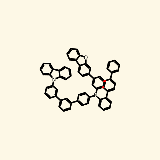 c1ccc(-c2ccc(-c3ccccc3N(c3ccc(-c4cccc(-c5cccc(-n6c7ccccc7c7ccccc76)c5)c4)cc3)c3cccc(-c4ccc5c(c4)oc4ccccc45)c3)cc2)cc1